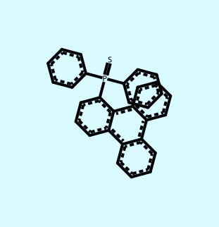 S=P(c1ccccc1)(c1ccccc1)c1cccc2c3ccccc3c3ccccc3c12